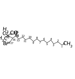 CCCCCCCCCCCCCCC(=O)C(CBr)C(C)(C)C